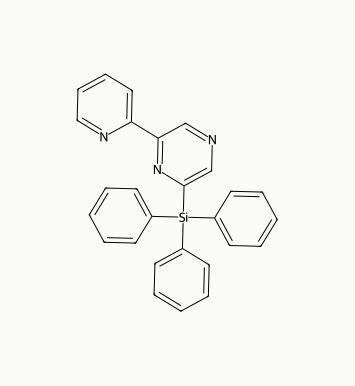 c1ccc([Si](c2ccccc2)(c2ccccc2)c2cncc(-c3ccccn3)n2)cc1